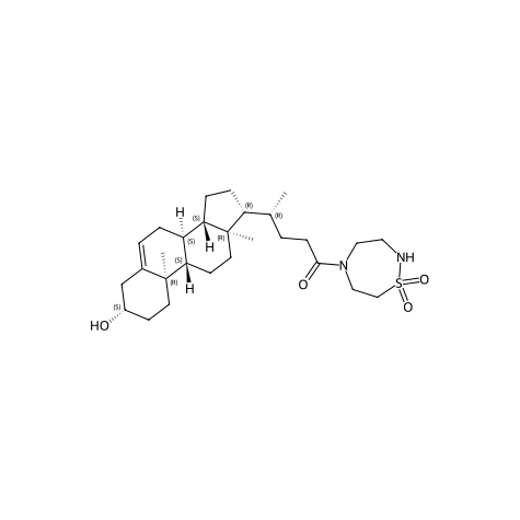 C[C@H](CCC(=O)N1CCNS(=O)(=O)CC1)[C@H]1CC[C@H]2[C@@H]3CC=C4C[C@@H](O)CC[C@]4(C)[C@H]3CC[C@]12C